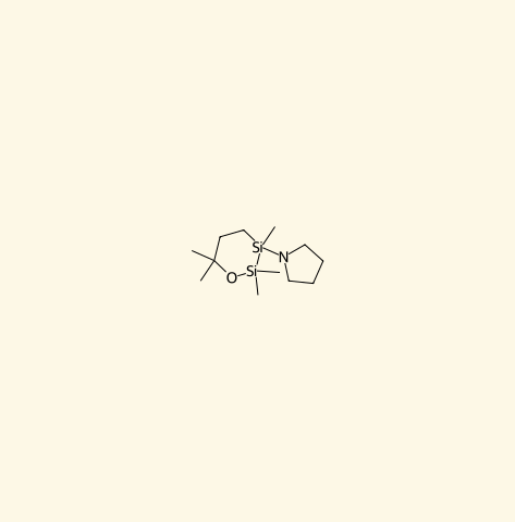 CC1(C)CC[Si](C)(N2CCCC2)[Si](C)(C)O1